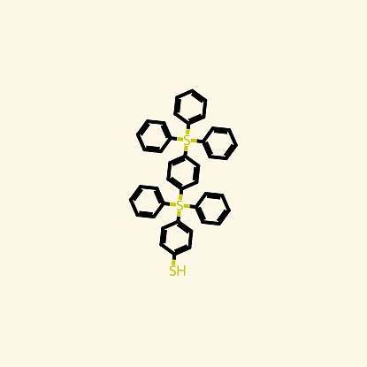 Sc1ccc(S(c2ccccc2)(c2ccccc2)c2ccc(S(c3ccccc3)(c3ccccc3)c3ccccc3)cc2)cc1